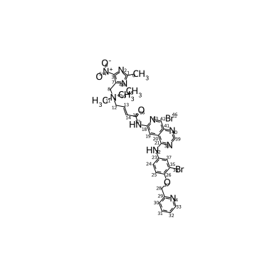 Cc1nc([N+](=O)[O-])c(C[N+](C)(C)C/C=C/C(=O)Nc2cc3c(Nc4ccc(OCc5ccccn5)c(Br)c4)ncnc3cn2)n1C.[Br-]